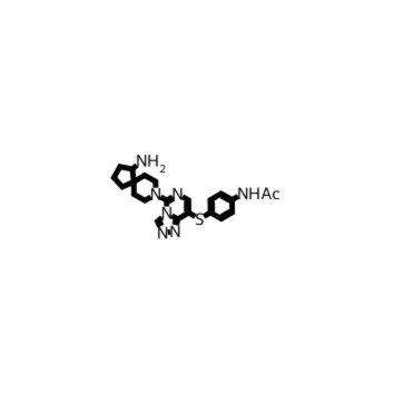 CC(=O)Nc1ccc(Sc2cnc(N3CCC4(CCCC4N)CC3)n3cnnc23)cc1